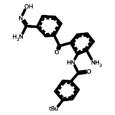 CC(C)(C)c1ccc(C(=O)Nc2c(N)cccc2C(=O)c2cccc(/C(N)=N\O)c2)cc1